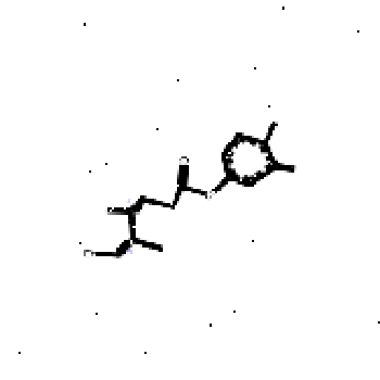 CC/C=C(C)\C(C)=C/CC(=O)Oc1ccc(C)c(C)c1